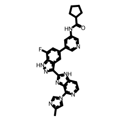 Cc1cn(-c2nccc3[nH]c(-c4n[nH]c5c(F)cc(-c6cncc(NC(=O)C7CCCC7)c6)cc45)nc23)cn1